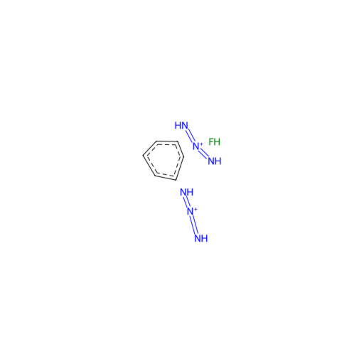 F.N=[N+]=N.N=[N+]=N.c1ccccc1